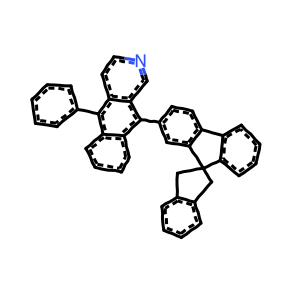 c1ccc(-c2c3ccccc3c(-c3ccc4c(c3)C3(Cc5ccccc5C3)c3ccccc3-4)c3cnccc23)cc1